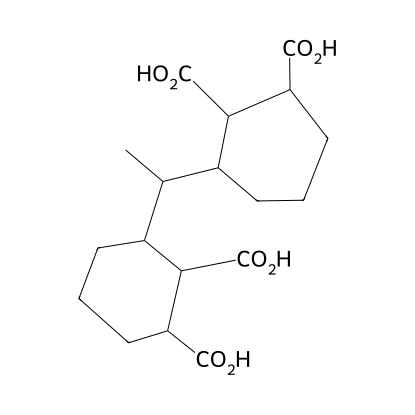 CC(C1CCCC(C(=O)O)C1C(=O)O)C1CCCC(C(=O)O)C1C(=O)O